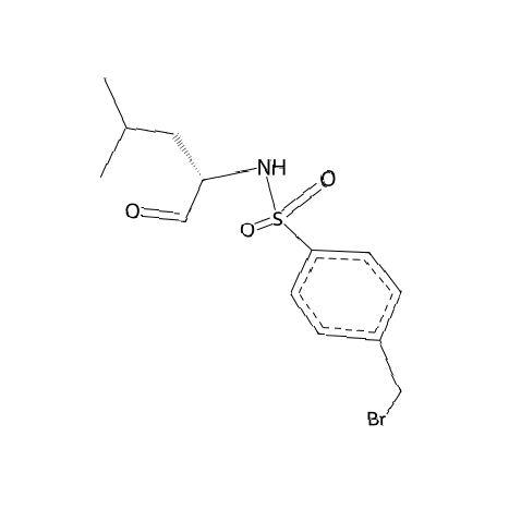 CC(C)C[C@@H](C=O)NS(=O)(=O)c1ccc(CBr)cc1